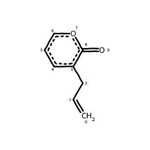 C=CCc1cccoc1=O